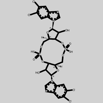 O=P1(S)OC[C@H]2O[C@@H](n3cnc4cc(Cl)c(Cl)cc43)C(O)C2OP(=O)(S)OC[C@H]2O[C@@H](n3cnc4cc(Cl)c(Cl)cc43)C(O)C2O1